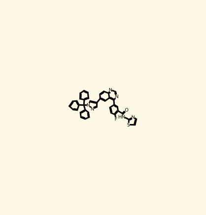 O=C(Nc1nccs1)c1cc(-c2ncnc3ccc(-c4cnn(C(c5ccccc5)(c5ccccc5)c5ccccc5)c4)cc23)ccc1F